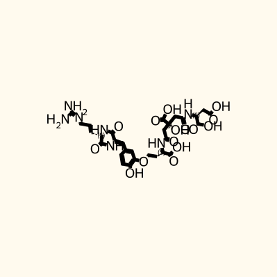 NC(N)=NCCC[C@@H]1NC(=O)C(=Cc2ccc(O)c(OCC[C@H](NC(=O)C[C@](O)(CC(=O)N[C@@H](CC(=O)O)C(=O)O)C(=O)O)C(=O)O)c2)NC1=O